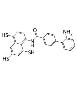 Nc1ccccc1-c1ccc(C(=O)Nc2ccc(S)c3cc(S)cc(S)c23)cc1